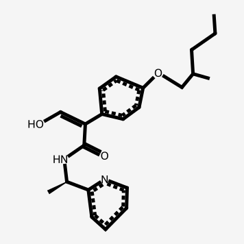 CCCC(C)COc1ccc(C(=CO)C(=O)N[C@H](C)c2ccccn2)cc1